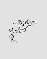 CN1CCN(Cc2ccc(NC(=O)Nc3cccc(C#Cc4cnc(N)nc4-c4cc5c(n4C)CCN(C(=O)OC(C)(C)C)C5=O)c3)cc2C(F)(F)F)CC1